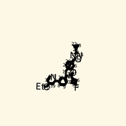 CCOc1ccnc(-c2cccc(N(CC34CCC(c5nc(C6CC6)no5)(CC3)CC4)C(=O)C34CC(F)(C3)C4)c2)c1